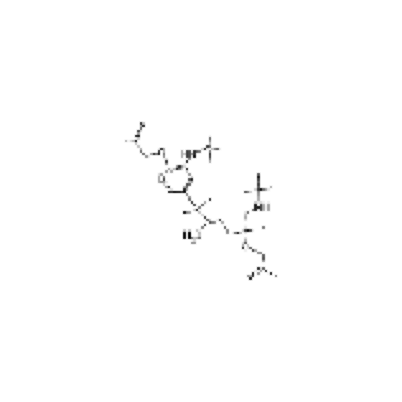 B/C(=C\CC(C)(CNC(C)(C)C)OCC(=C)C)C(C)(C)c1cbc(OCC(=C)C)c(NC(C)(C)C)c1